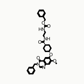 COc1cc2ncn(Cc3ccccc3)c(=O)c2cc1O[C@H]1CC[C@H](C(=O)NCCNC(=O)OCc2ccccc2)CC1